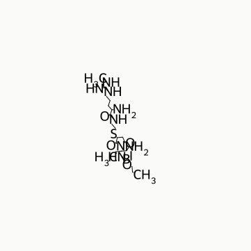 CCCOB(I)NC(CC)(CN)N1C(=O)CC(SCCNC(=O)C(N)CCCNC(=N)NC)C1=O